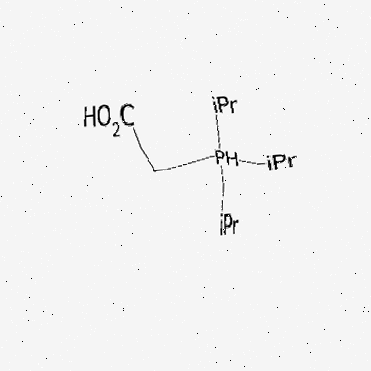 CC(C)[PH](CC(=O)O)(C(C)C)C(C)C